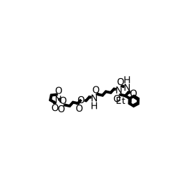 CCC1(c2ccccc2)C(=O)NC(=O)N(CCCCC(=O)NCCOC(=O)CCC(=O)ON2C(=O)CCC2=O)C1=O